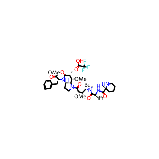 CC[C@H](C)[C@@H]([C@@H](CC(=O)N1CCC[C@H]1[C@H](OC)[C@@H](C)C(=O)N[C@@H](Cc1ccccc1)C(=O)OC)OC)N(C)C(=O)[C@@H](NC(=O)[C@@]1(C)CCCCN1)C(C)C.O=C(O)C(F)(F)F